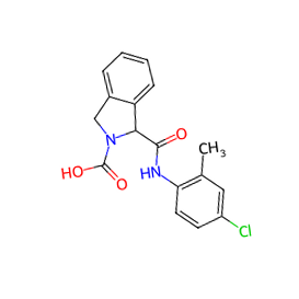 Cc1cc(Cl)ccc1NC(=O)C1c2ccccc2CN1C(=O)O